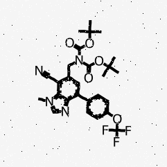 Cn1cnc2c(-c3ccc(OC(F)(F)F)cc3)cc(CN(C(=O)OC(C)(C)C)C(=O)OC(C)(C)C)c(C#N)c21